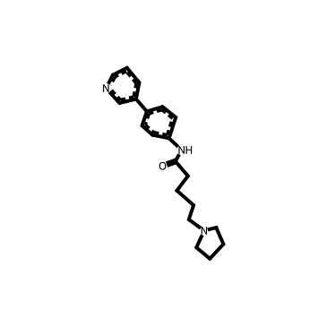 O=C(CCCCN1CCCC1)Nc1ccc(-c2cccnc2)cc1